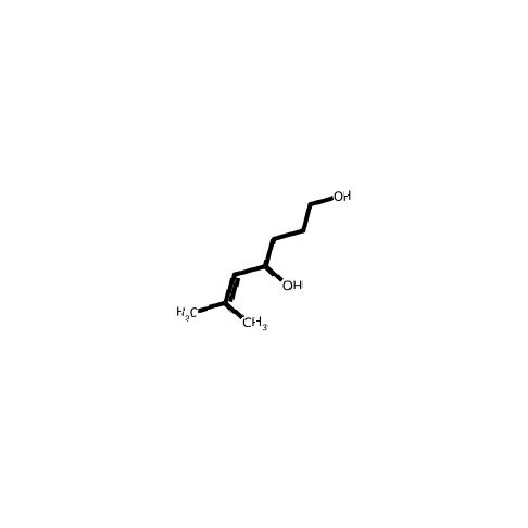 CC(C)=CC(O)CCCO